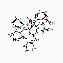 CN1C(c2ccccn2)C2(CC(C(=O)O)C(=O)O)CN(Cc3ccccn3)CC(CC(C(=O)O)C(=O)O)(C2=O)C1c1ccccn1